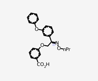 CCCO/N=C(\COc1cccc(C(=O)O)c1)c1cccc(Oc2ccccc2)c1